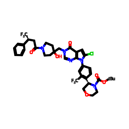 CC(C)(C)OC(=O)N1CCOC[C@@H]1c1ccc(-n2c(Cl)cc3c(=O)n(CC4(O)CCN(C(=O)C[C@H](c5ccccc5)C(F)(F)F)CC4)cnc32)cc1C(F)(F)F